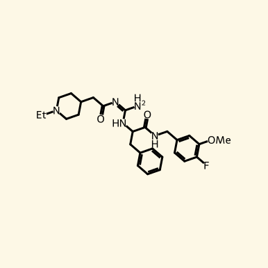 CCN1CCC(CC(=O)N=C(N)NC(Cc2ccccc2)C(=O)NCc2ccc(F)c(OC)c2)CC1